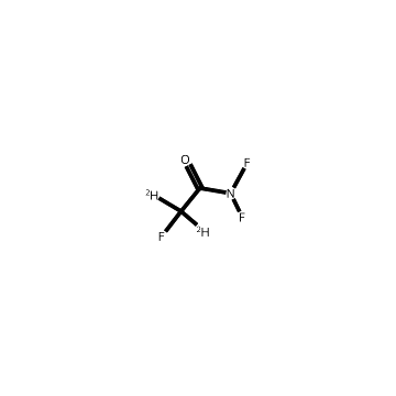 [2H]C([2H])(F)C(=O)N(F)F